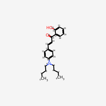 CCCCN(CCCC)c1ccc(/C=C/C(=O)c2ccccc2O)cc1